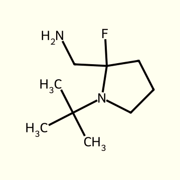 CC(C)(C)N1CCCC1(F)CN